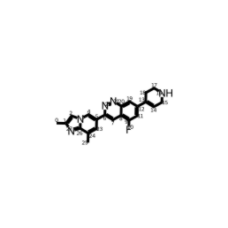 Cc1cn2cc(-c3cc4c(F)cc(C5=CCNCC5)cc4nn3)cc(C)c2n1